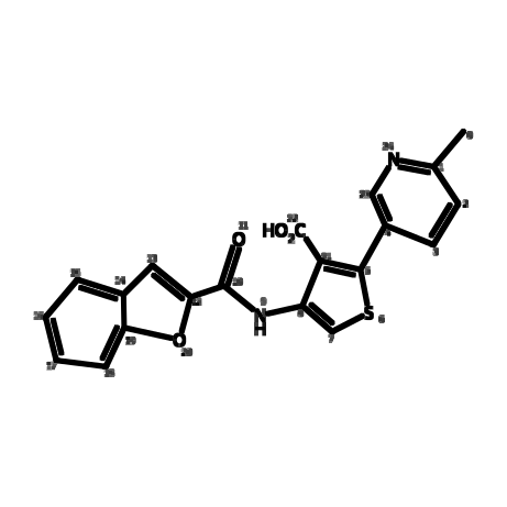 Cc1ccc(-c2scc(NC(=O)c3cc4ccccc4o3)c2C(=O)O)cn1